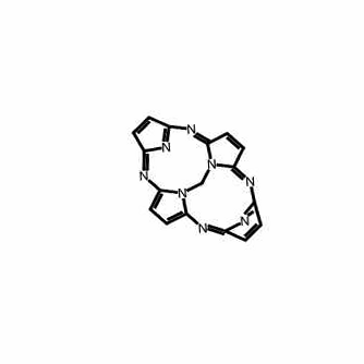 C1=C/C2=N/c3ccc4n3Cn3/c(cc/c3=N/C3=NC(=N\4)/C=C3)=N\C1=N2